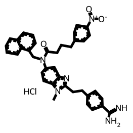 Cl.Cn1c(CCc2ccc(C(=N)N)cc2)nc2cc(N(Cc3cccc4ccccc34)C(=O)CCCc3ccc([N+](=O)[O-])cc3)ccc21